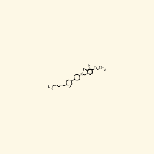 CCCCCC1CCC(C2CCC(OCc3ccc(OCC)c(F)c3F)CC2)CO1